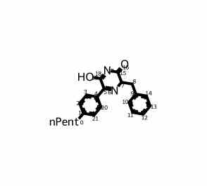 CCCCCc1ccc(C2=NC(Cc3ccccc3)C(=O)N=C2O)cc1